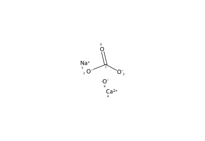 O=C([O-])[O-].[Ca+2].[Na+].[O-]